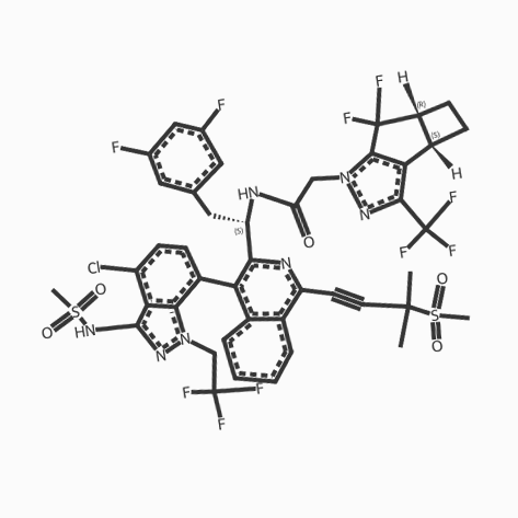 CC(C)(C#Cc1nc([C@H](Cc2cc(F)cc(F)c2)NC(=O)Cn2nc(C(F)(F)F)c3c2C(F)(F)[C@@H]2CC[C@H]32)c(-c2ccc(Cl)c3c(NS(C)(=O)=O)nn(CC(F)(F)F)c23)c2ccccc12)S(C)(=O)=O